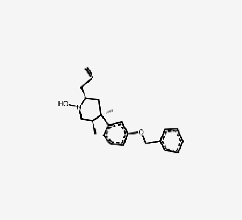 C=CC[C@H]1C[C@@](C)(c2cccc(OCc3ccccc3)c2)[C@@H](C)CN1O